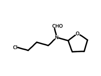 O=CN(CCCCl)C1CCCO1